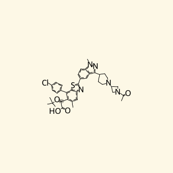 CC(=O)N1CC(N2CCC(c3nn(C)c4ccc(-c5nc6cc(C)c([C@H](OC(C)(C)C)C(=O)O)c(-c7ccc(Cl)cc7)c6s5)cc34)CC2)C1